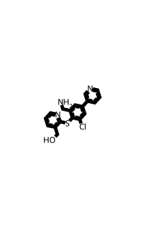 NCc1cc(-c2cccnc2)cc(Cl)c1Sc1ncccc1CO